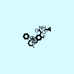 C[C@H]1CC[C@H](c2ccccc2)S(=O)(=O)N1Cc1cc(F)c([C@@H](OCC2CC2)C(N)=O)cc1F